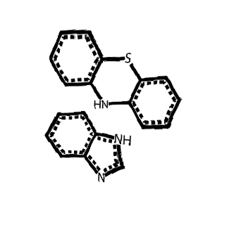 c1ccc2[nH]cnc2c1.c1ccc2c(c1)Nc1ccccc1S2